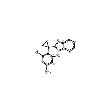 Nc1cc(Cl)c(C2(c3nc4ccccc4o3)CC2)c(Cl)c1